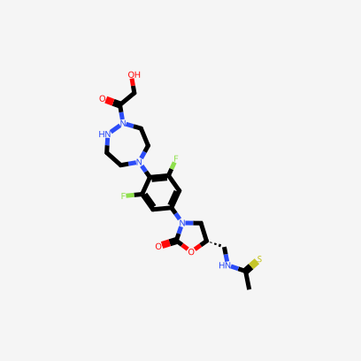 CC(=S)NC[C@H]1CN(c2cc(F)c(N3CCNN(C(=O)CO)CC3)c(F)c2)C(=O)O1